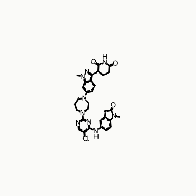 CN1C(=O)Cc2cc(Nc3nc(N4CCCN(c5ccc6c(C7CCC(=O)NC7=O)nn(C)c6c5)CC4)ncc3Cl)ccc21